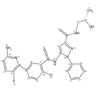 C[C@H](O)CNC(=O)c1cc(NC(=O)c2cc(-c3nc(N)ccc3F)ccc2Cl)n(-c2ccccc2)n1